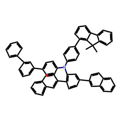 CC1(C)c2ccccc2-c2cccc(-c3ccc(N(c4ccc(-c5cccc(-c6ccccc6)c5)cc4)c4cc(-c5ccc6ccccc6c5)ccc4-c4ccc5ccccc5c4)cc3)c21